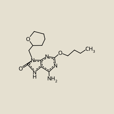 CCCCOc1nc(N)c2[nH]c(=O)n(CC3CCCCO3)c2n1